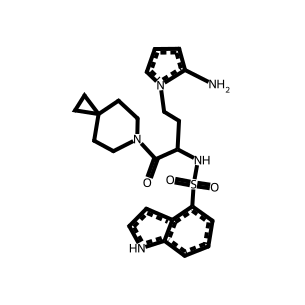 Nc1cccn1CCC(NS(=O)(=O)c1cccc2[nH]ccc12)C(=O)N1CCC2(CC1)CC2